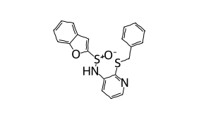 [O-][S+](Nc1cccnc1SCc1ccccc1)c1cc2ccccc2o1